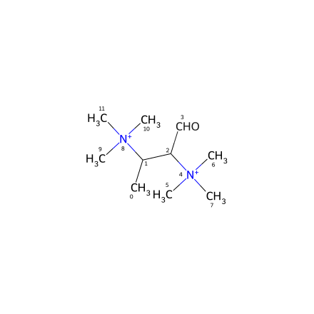 CC(C(C=O)[N+](C)(C)C)[N+](C)(C)C